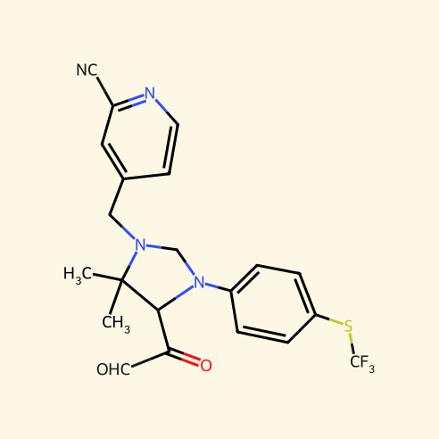 CC1(C)C(C(=O)C=O)N(c2ccc(SC(F)(F)F)cc2)CN1Cc1ccnc(C#N)c1